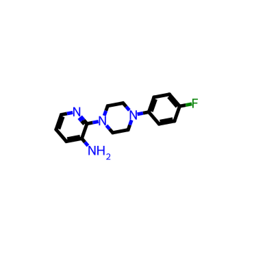 Nc1cccnc1N1CCN(c2ccc(F)cc2)CC1